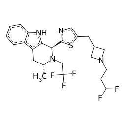 C[C@@H]1Cc2c([nH]c3ccccc23)[C@@H](c2ncc(CC3CN(CCC(F)F)C3)s2)N1CC(F)(F)F